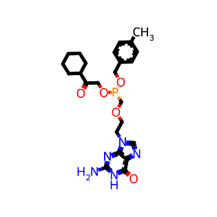 Cc1ccc(COP(COCCn2cnc3c(=O)[nH]c(N)nc32)OCC(=O)C2CCCCC2)cc1